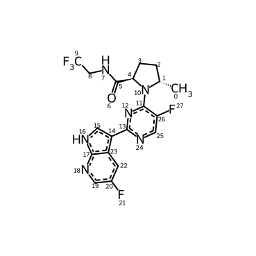 C[C@H]1CC[C@H](C(=O)NCC(F)(F)F)N1c1nc(-c2c[nH]c3ncc(F)cc23)ncc1F